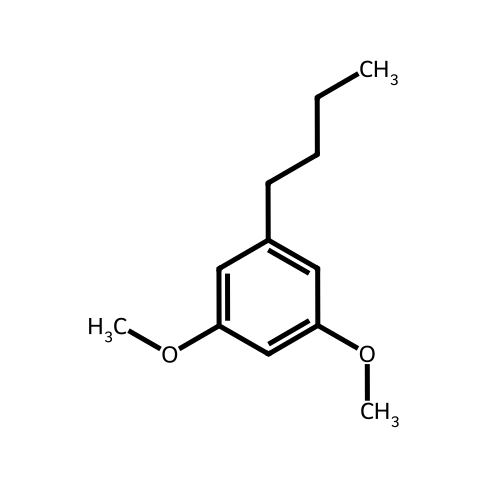 CCCCc1cc(OC)cc(OC)c1